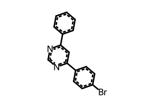 Brc1ccc(-c2cc(-c3ccccc3)ncn2)cc1